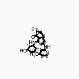 CCn1ccc2cc(Nc3cc(C)ccn3)nc(NC3CCCC(O)C3)c2c1=O